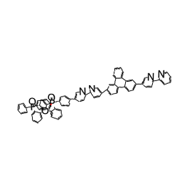 O=P(c1ccccc1)(c1ccccc1)c1ccccc1Oc1ccccc1P(=O)(c1ccccc1)c1ccc(-c2ccc(-c3ccc(-c4ccc5c6ccc(-c7ccc(-c8ccccn8)nc7)cc6c6ccccc6c5c4)cn3)nc2)cc1